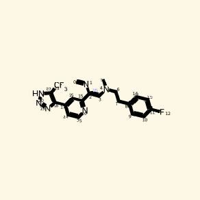 C=N/C(=C\N(C)CCc1ccc(F)cc1)c1cc(-c2nn[nH]c2C(F)(F)F)ccn1